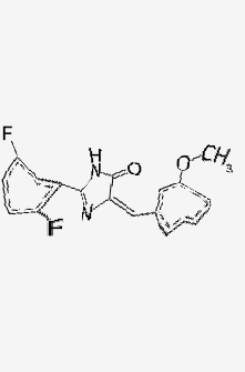 COc1cccc(C=C2N=C(c3cc(F)ccc3F)NC2=O)c1